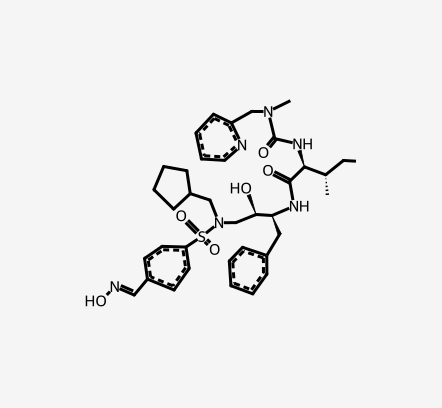 CC[C@H](C)[C@H](NC(=O)N(C)Cc1ccccn1)C(=O)N[C@@H](Cc1ccccc1)[C@H](O)CN(CC1CCCC1)S(=O)(=O)c1ccc(/C=N/O)cc1